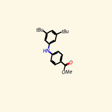 COC(=O)c1ccc(Nc2cc(C(C)(C)C)cc(C(C)(C)C)c2)cc1